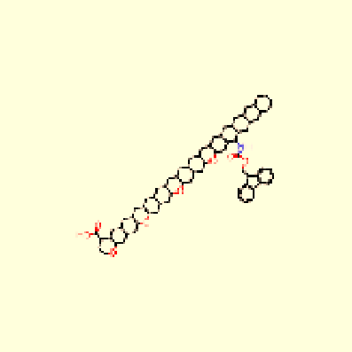 O=C(NC1C2CC3CC4CCCCC4CC3CC2CC2CC3CC4CC5CC6CC7CC8CC9CC%10CC%11CC%12C(CC%11CC%10OC9CC8CC7OC6CC5CC4OC3CC21)OCCC%12C(=O)O)OCC1c2ccccc2-c2ccccc21